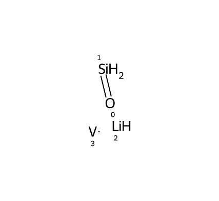 O=[SiH2].[LiH].[V]